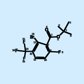 CC(C)(C)OC(=O)c1c(F)ccc(C(F)(F)F)c1Br